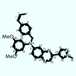 C/C=C\c1ccc(CN(c2cc(OC)cc(OC)c2)c2ccc3ncc(-c4cnn(C)c4)nc3c2)cc1